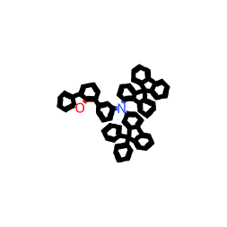 c1ccc(C2(c3ccccc3)c3ccccc3-c3ccc(N(c4cccc(-c5cccc6c5oc5ccccc56)c4)c4cccc5c4-c4ccccc4C54c5ccccc5-c5ccccc54)cc32)cc1